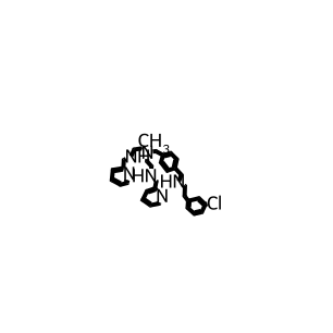 CC(CNCc1ccccn1)N(CCNCc1ccccn1)Cc1ccc(CNCCc2cccc(Cl)c2)cc1